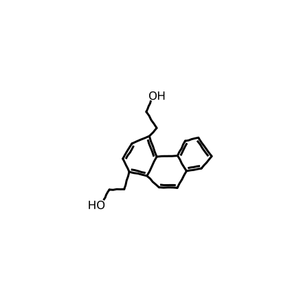 OCCc1ccc(CCO)c2c1ccc1ccccc12